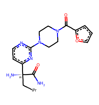 CC(C)C[C@](N)(C(N)=O)c1ccnc(N2CCN(C(=O)c3ccco3)CC2)n1